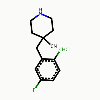 Cl.N#CC1(Cc2cc(F)ccc2Cl)CCNCC1